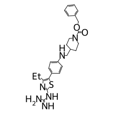 CCc1nc(NC(=N)N)sc1-c1ccc(NCC2CCN(C(=O)OCc3ccccc3)CC2)cc1